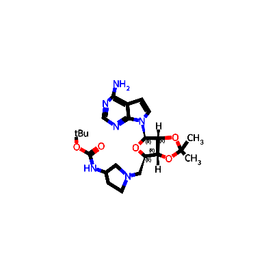 CC(C)(C)OC(=O)NC1CCN(C[C@H]2O[C@@H](n3ccc4c(N)ncnc43)[C@@H]3OC(C)(C)O[C@@H]32)C1